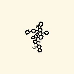 Clc1c(-c2cccc3c2Sc2ccc(N(c4ccccc4)c4cc(-c5ccc(-c6ccccc6)cc5)c5oc6ccccc6c5c4)cc2C32c3ccccc3-c3ccccc32)ccc2ccccc12